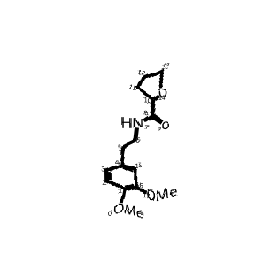 COc1ccc(CCNC(=O)C2CCCO2)cc1OC